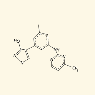 Cc1cc(Nc2nccc(C(F)(F)F)n2)cc(C2=C[N]N=C2O)c1